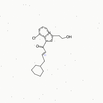 O=C(/C=C/CC1CCCCC1)c1cc(CCO)n2cccc(Cl)c12